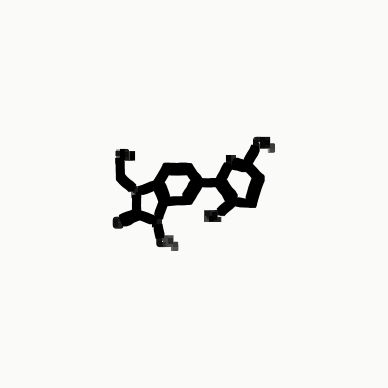 Cc1ccc(C#N)c(-c2ccc3c(c2)n(C)c(=O)n3CC(C)(C)C)n1